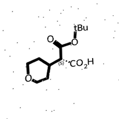 CC(C)(C)OC(=O)[C@H](C(=O)O)C1CCOCC1